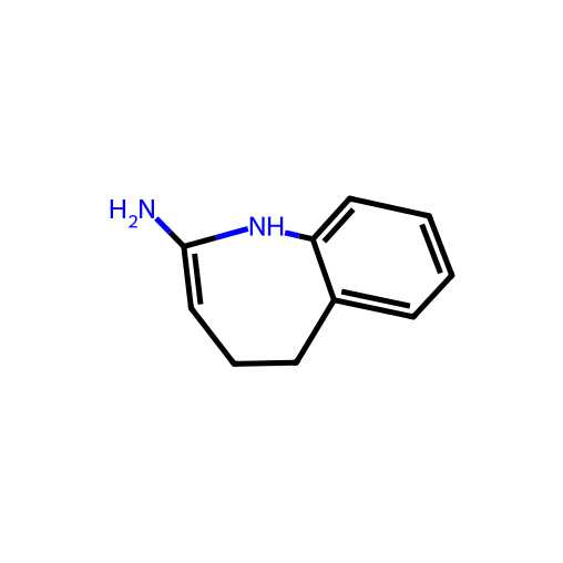 NC1=CCCc2ccccc2N1